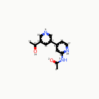 CC(=O)Nc1cc(-c2cncc(C(C)=O)c2)ccn1